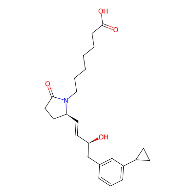 O=C(O)CCCCCCN1C(=O)CC[C@@H]1/C=C/[C@@H](O)Cc1cccc(C2CC2)c1